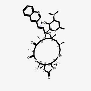 CC[C@H]1OC(=O)[C@H](C)C(=O)[C@H](C)[C@@H](O[C@@H]2OC(C)CC(N(C)C)C2O)[C@](C)(OC/C=C/c2cnc3ccccc3c2)C[C@@H](C)CN[C@H](C)[C@H]2NC(=O)O[C@@]21C